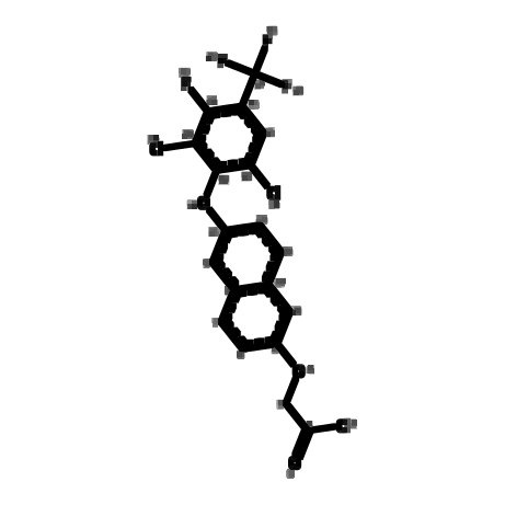 O=C(Cl)COc1ccc2cc(Oc3c(Cl)cc(C(F)(F)F)c(F)c3Cl)ccc2c1